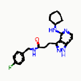 O=C(CCc1n[nH]c2ccnc(NC3CCCCC3)c12)NCc1ccc(F)cc1